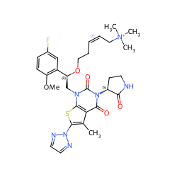 COc1ccc(F)cc1[C@H](Cn1c(=O)n([C@H]2CCNC2=O)c(=O)c2c(C)c(-n3nccn3)sc21)OCC/C=C\C[N+](C)(C)C